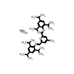 Cc1cc(C=Nc2c(C(C)C)cc(C(C)C)cc2C(C)C)nc(C=Nc2c(C(C)C)cc(C(C)C)cc2C(C)C)c1.[Cl-].[Cl-].[Cl-].[Fe+3]